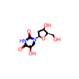 O=c1[nH]c(=O)n([C@H]2CC(O)[C@@H](CO)O2)cc1O